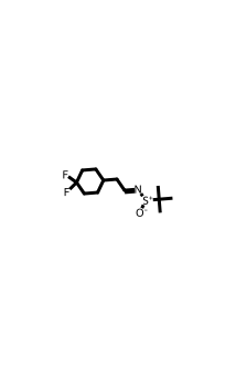 CC(C)(C)[S+]([O-])N=CCC1CCC(F)(F)CC1